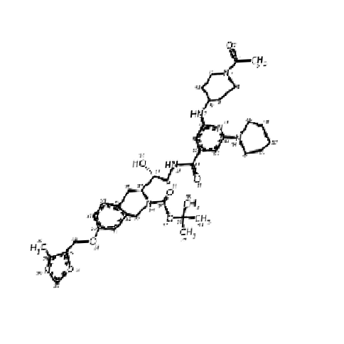 CC(=O)N1CCC(Nc2cc(C(=O)NC[C@@H](O)[C@@H]3Cc4ccc(OCc5ocnc5C)cc4CN3C(=O)OC(C)(C)C)cc(N3CCCCC3)n2)CC1